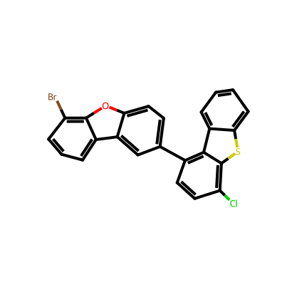 Clc1ccc(-c2ccc3oc4c(Br)cccc4c3c2)c2c1sc1ccccc12